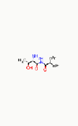 CCCC(CCC)C(=O)NC(=O)[C@@H](N)[C@@H](C)O